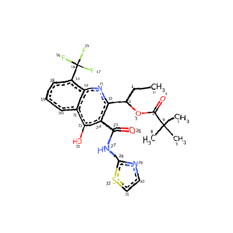 CCC(OC(=O)C(C)(C)C)c1nc2c(C(F)(F)F)cccc2c(O)c1C(=O)Nc1nccs1